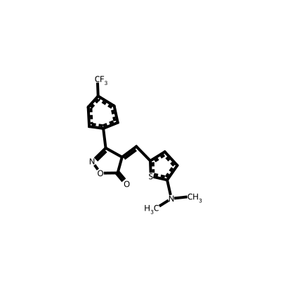 CN(C)c1ccc(C=C2C(=O)ON=C2c2ccc(C(F)(F)F)cc2)s1